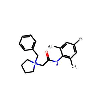 CCc1cc(C)c(NC(=O)C[N+]2(Cc3ccccc3)CCCC2)c(C)c1